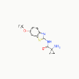 NC1(C(=O)Nc2nc3ccc(OC(F)(F)F)cc3s2)CC1